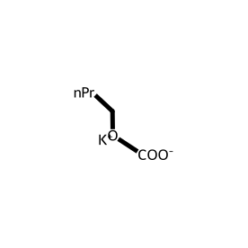 CCCCOC(=O)[O-].[K+]